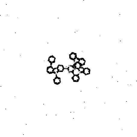 c1ccc(-c2cccc3c2c2ccc(-c4nc(-c5ccccc5-n5c6ccccc6c6ccccc65)nc(-n5c6ccccc6c6ccccc65)n4)cc2n3-c2ccccc2)cc1